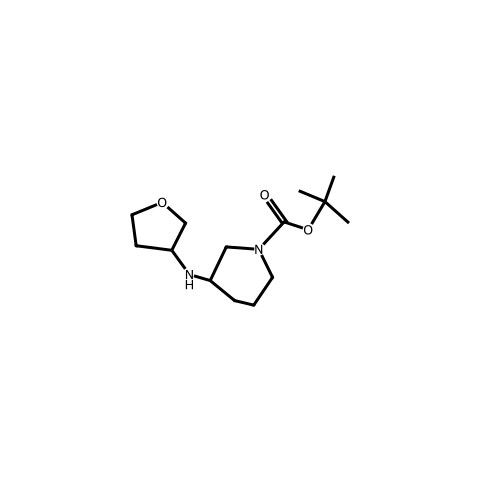 CC(C)(C)OC(=O)N1CCCC(NC2CCOC2)C1